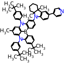 Cc1cc2c3c(c1)N(c1cccc(C(C)(C)C)c1)c1cc(C(C)(C)C)ccc1B3c1ccc(N3c4ccc(-c5ccncc5)cc4C4(C)CCCCC34C)cc1N2c1ccc(C(C)(C)C)cc1